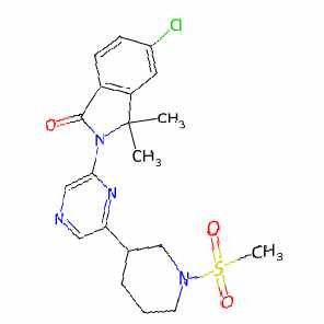 CC1(C)c2cc(Cl)ccc2C(=O)N1c1cncc(C2CCCN(S(C)(=O)=O)C2)n1